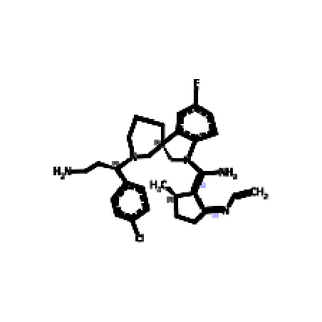 C=C/N=C1/CC[C@@H](C)/C1=C(/N)N1C[C@]2(CCCN([C@H](CCN)c3ccc(Cl)cc3)C2)c2cc(F)ccc21